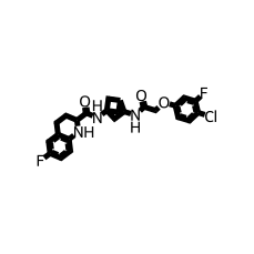 O=C(COc1ccc(Cl)c(F)c1)NC1CC2(NC(=O)C3CCc4cc(F)ccc4N3)CC1C2